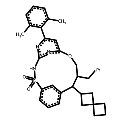 Cc1cccc(C)c1-c1cc2nc(n1)NS(=O)(=O)c1cccc(c1)C(C1CC3(CCC3)C1)C(CC(C)C)CO2